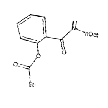 C[CH]C(=O)Oc1ccccc1C(=O)NCCCCCCCC